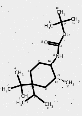 CC(C)C1(C(C)(C)C)CCC(NC(=O)OC(C)(C)C)[C@H](C)C1